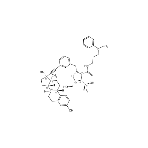 C[C@H](O)[C@@H]1[C@H](CO)ON(Cc2cccc(C#C[C@]3(O)CC[C@H]4[C@@H]5CCc6cc(O)ccc6[C@H]5CC[C@@]43C)c2)[C@@H]1C(=O)NCCCN(C)c1ccccc1